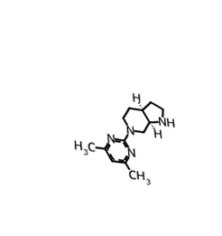 Cc1cc(C)nc(N2CC[C@H]3CCN[C@H]3C2)n1